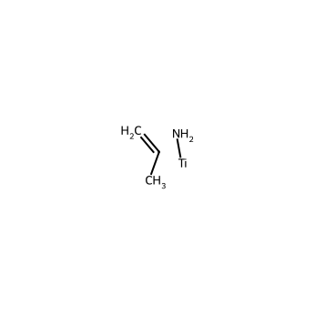 C=CC.[NH2][Ti]